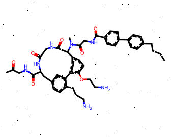 CCCCc1ccc(-c2ccc(C(=O)NCC(=O)N(C)C3C(=O)NCC(=O)NC(C(=O)NCC(C)=O)Cc4ccc(CCCN)c(c4)-c4cc3ccc4OCCN)cc2)cc1